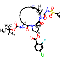 CC(C)(C)OC(=O)N[C@H]1CCCCC/C=C\[C@@H]2C[C@@]2(C(=O)NS(=O)(=O)C2CC2)NC(=O)[C@@H]2C[C@@H](OC(=O)c3ccc(Cl)cc3F)CN2C1=O